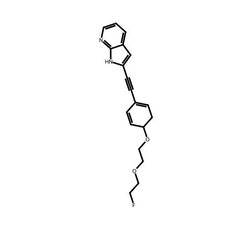 FCCOCCOC1C=CC(C#Cc2cc3cccnc3[nH]2)=CC1